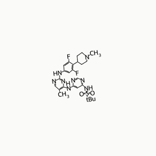 Cc1cnc(Nc2cc(F)c(C3CCN(C)CC3)c(F)c2)nc1Nc1cc(NS(=O)(=O)C(C)(C)C)ncn1